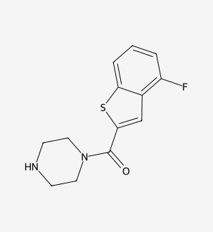 O=C(c1cc2c(F)cccc2s1)N1CCNCC1